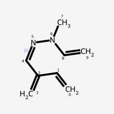 C=CC(=C)/C=N\N(C)C=C